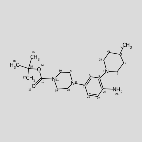 CC1CCN(c2cc(N3CCN(C(=O)OC(C)(C)C)CC3)ccc2N)CC1